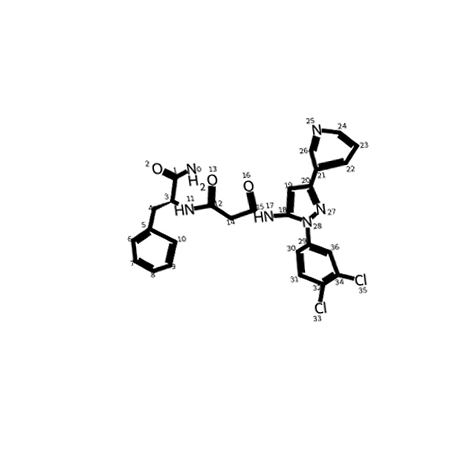 NC(=O)[C@H](Cc1ccccc1)NC(=O)CC(=O)Nc1cc(-c2cccnc2)nn1-c1ccc(Cl)c(Cl)c1